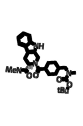 CNC(=O)[C@@H]1Cc2c([nH]c3ccccc23)CN1C(=O)C1CCC(CN(C)C(=O)OC(C)(C)C)CC1